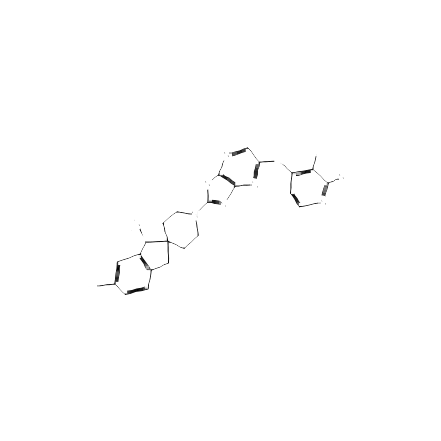 Nc1nccc(Sc2cnc3[nH]c(N4CCC5(CC4)Cc4ccc(O)cc4[C@H]5N)nc3n2)c1Cl